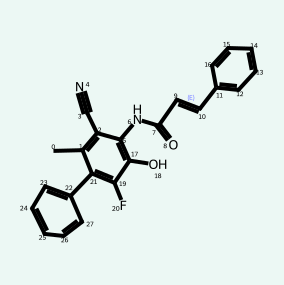 Cc1c(C#N)c(NC(=O)/C=C/c2ccccc2)c(O)c(F)c1-c1ccccc1